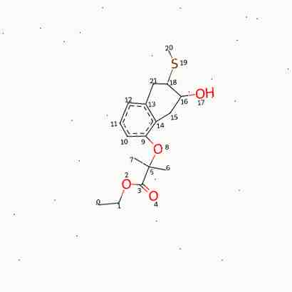 CCOC(=O)C(C)(C)Oc1cccc2c1CC(O)C(SC)C2